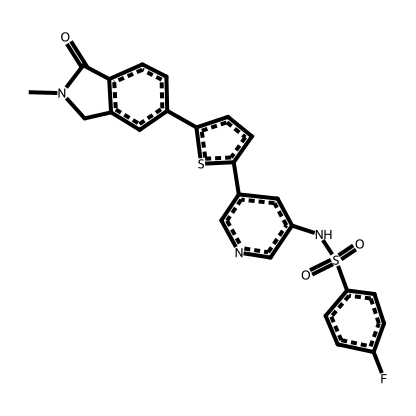 CN1Cc2cc(-c3ccc(-c4cncc(NS(=O)(=O)c5ccc(F)cc5)c4)s3)ccc2C1=O